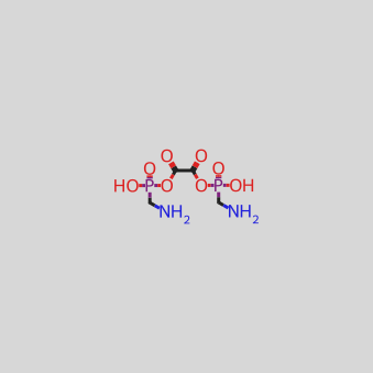 NCP(=O)(O)OC(=O)C(=O)OP(=O)(O)CN